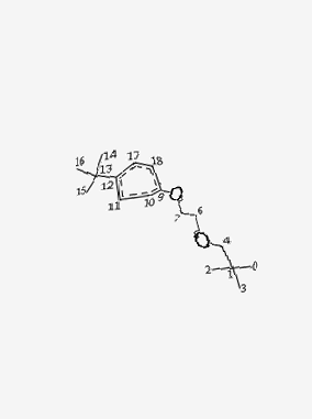 CC(C)(C)COCCOc1ccc(C(C)(C)C)cc1